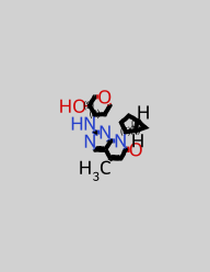 Cc1cc(=O)n([C@H]2CC[C@H]3C[C@H]32)c2nc(N[C@@H]3CCOC[C@H]3O)ncc12